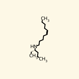 CCCC/C=C\CCCCN[C@@H](CC)CCC